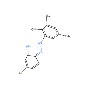 Cc1cc(N/N=C2/C=CC(Cl)=CC2=N)c(N=O)c(C(C)(C)C)c1